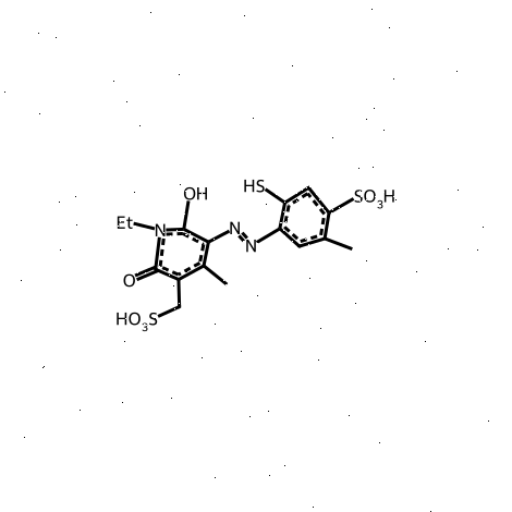 CCn1c(O)c(N=Nc2cc(C)c(S(=O)(=O)O)cc2S)c(C)c(CS(=O)(=O)O)c1=O